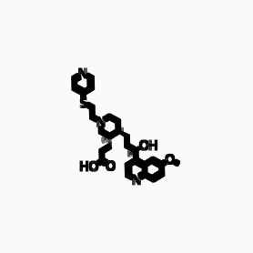 COc1ccc2nccc([C@H](O)CC[C@@H]3CCN(CCSc4ccncc4)C[C@H]3CCC(=O)O)c2c1